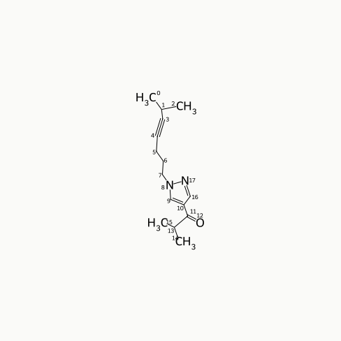 CC(C)C#CCCCn1cc(C(=O)C(C)C)cn1